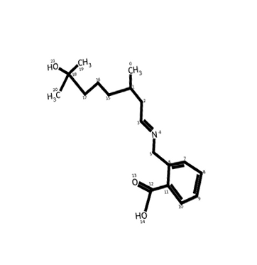 CC(CC=NCc1ccccc1C(=O)O)CCCC(C)(C)O